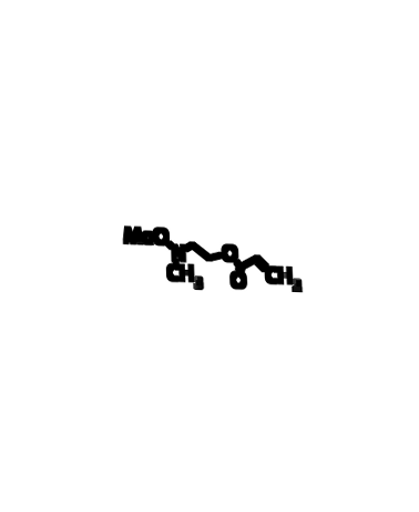 C=CC(=O)OCCN(C)OC